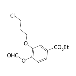 CCOC(=O)c1ccc(OC=O)c(OCCCCl)c1